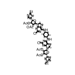 CCn1nnc([C@H]2OC(n3cnc4c(N[C@H]5CC[C@H](Nc6nc(Cl)nc7c6ncn7[C@@H]6O[C@H](c7nnn(CC)n7)[C@@H](OC(C)=O)[C@H]6OC(C)=O)CC5)nc(Cl)nc43)[C@H](OC(C)=O)[C@@H]2OC(C)=O)n1